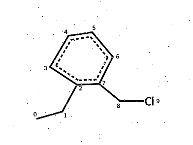 CCc1ccccc1CCl